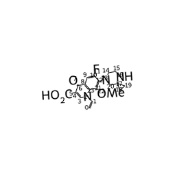 C=Cn1cc(C(=O)O)c(=O)c2cc(F)c(N3CCNC4(CC4)C3)c(OC)c21